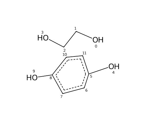 OCCO.Oc1ccc(O)cc1